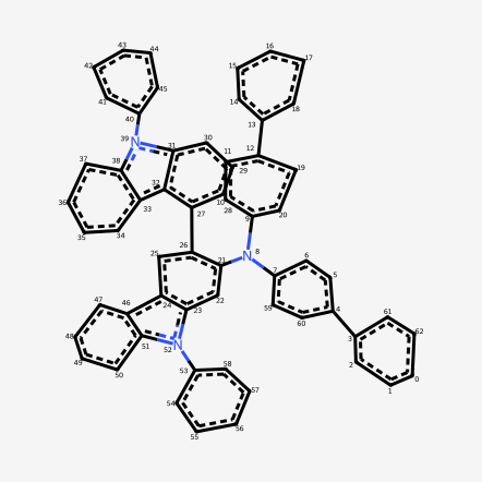 c1ccc(-c2ccc(N(c3ccc(-c4ccccc4)cc3)c3cc4c(cc3-c3cccc5c3c3ccccc3n5-c3ccccc3)c3ccccc3n4-c3ccccc3)cc2)cc1